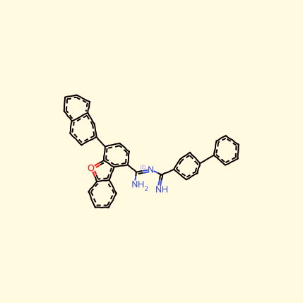 N=C(/N=C(\N)c1ccc(-c2ccc3ccccc3c2)c2oc3ccccc3c12)c1ccc(-c2ccccc2)cc1